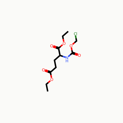 CCOC(=O)CCC(NC(=O)OCCl)C(=O)OCC